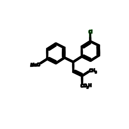 COc1cccc(C(C=C(C)C(=O)O)c2cccc(Cl)c2)c1